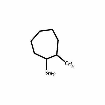 CC1CCCCC[CH]1[SnH]